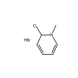 Br.CN1C=CC=CC1Cl